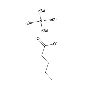 CCCCC(=O)[O-].CCCC[N+](CCCC)(CCCC)CCCC